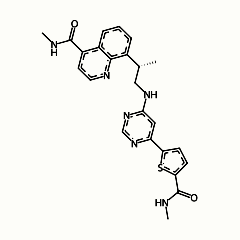 CNC(=O)c1ccc(-c2cc(NC[C@@H](C)c3cccc4c(C(=O)NC)ccnc34)ncn2)s1